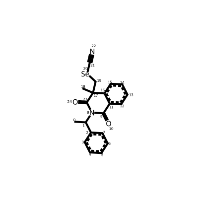 CC(c1ccccc1)N1C(=O)c2ccccc2C(C)(C[Se]C#N)C1=O